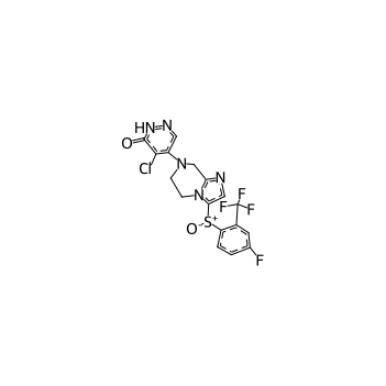 O=c1[nH]ncc(N2CCn3c([S+]([O-])c4ccc(F)cc4C(F)(F)F)cnc3C2)c1Cl